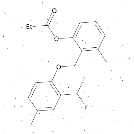 CCC(=O)Oc1cccc(C)c1COc1ccc(C)cc1C(F)F